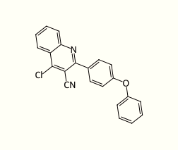 N#Cc1c(-c2ccc(Oc3ccccc3)cc2)nc2ccccc2c1Cl